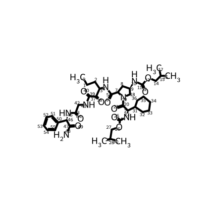 CCCC(NC(=O)C1C[C@@H](NC(=O)OCC(C)C)CN1C(=O)[C@@H](NC(=O)OCC(C)C)C1CCCCC1)C(=O)C(=O)NCC(=O)N[C@H](C(N)=O)c1ccccc1